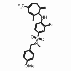 C=C1CC=C(C(F)(F)F)C=C(C)C1Nc1ccc(S(=O)(=O)N(C)Cc2ccc(OC)cc2)cc1Br